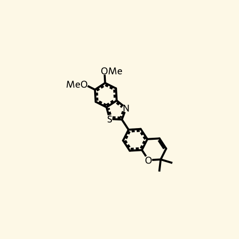 COc1cc2nc(-c3ccc4c(c3)C=CC(C)(C)O4)sc2cc1OC